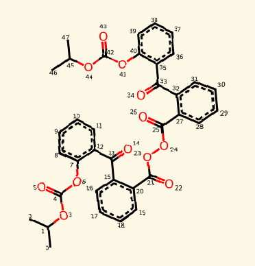 CC(C)OC(=O)Oc1ccccc1C(=O)c1ccccc1C(=O)OOC(=O)c1ccccc1C(=O)c1ccccc1OC(=O)OC(C)C